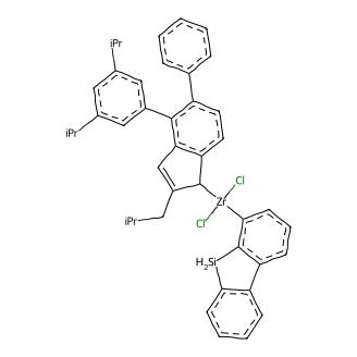 CC(C)CC1=Cc2c(ccc(-c3ccccc3)c2-c2cc(C(C)C)cc(C(C)C)c2)[CH]1[Zr]([Cl])([Cl])[c]1cccc2c1[SiH2]c1ccccc1-2